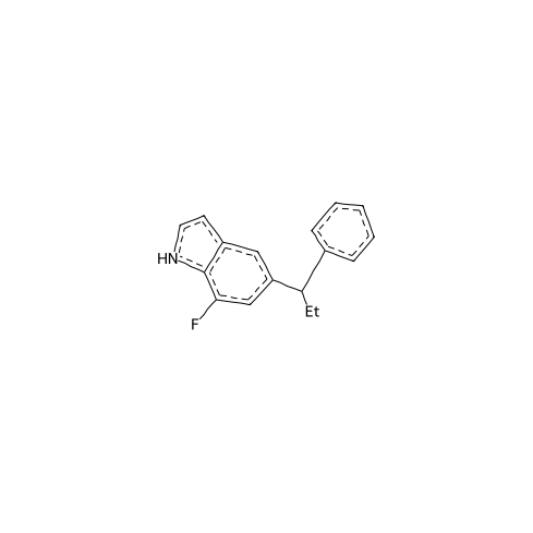 [CH2]CC(c1ccccc1)c1cc(F)c2[nH]ccc2c1